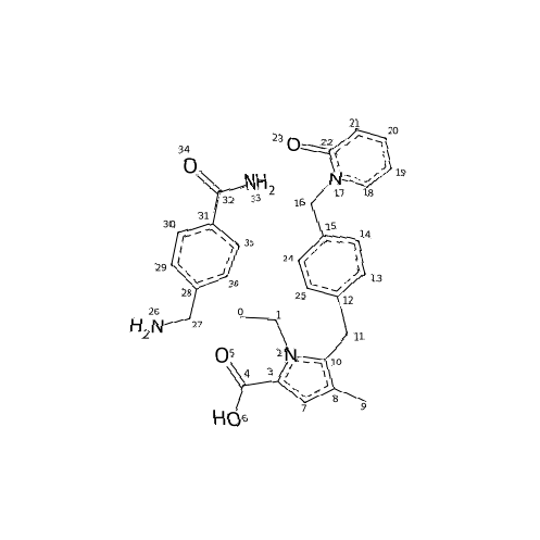 CCn1c(C(=O)O)cc(C)c1Cc1ccc(Cn2ccccc2=O)cc1.NCc1ccc(C(N)=O)cc1